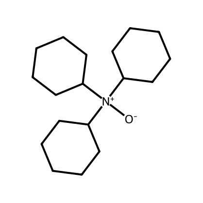 [O-][N+](C1CCCCC1)(C1CCCCC1)C1CCCCC1